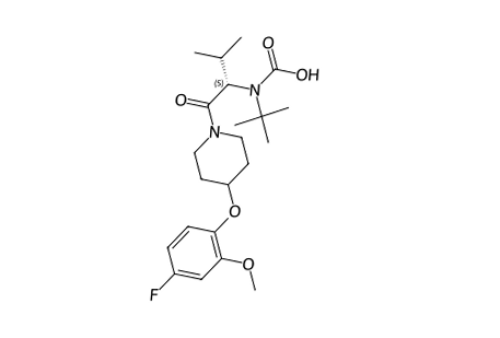 COc1cc(F)ccc1OC1CCN(C(=O)[C@H](C(C)C)N(C(=O)O)C(C)(C)C)CC1